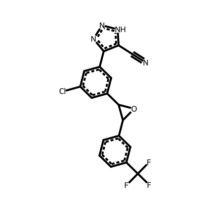 N#Cc1[nH]nnc1-c1cc(Cl)cc(C2OC2c2cccc(C(F)(F)F)c2)c1